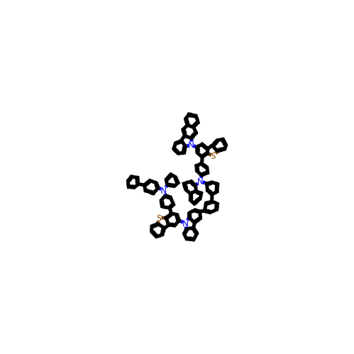 c1ccc(-c2ccc(N(c3ccccc3)c3ccc(-c4cc(-n5c6ccccc6c6cc(-c7cccc(-c8cccc(N(c9ccc(-c%10cc(-n%11c%12ccccc%12c%12cc%13ccccc%13cc%12%11)cc%11c%10sc%10ccccc%10%11)cc9)c9cccc%10ccccc9%10)c8)c7)ccc65)cc5c4sc4ccccc45)cc3)cc2)cc1